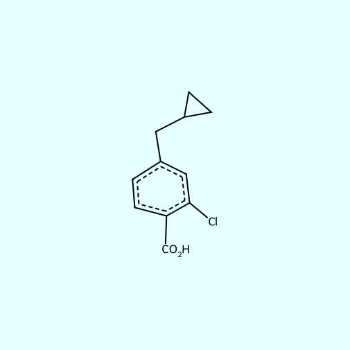 O=C(O)c1ccc(CC2CC2)cc1Cl